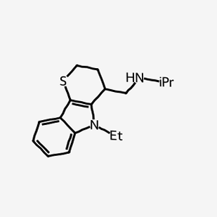 CCn1c2c(c3ccccc31)SCCC2CNC(C)C